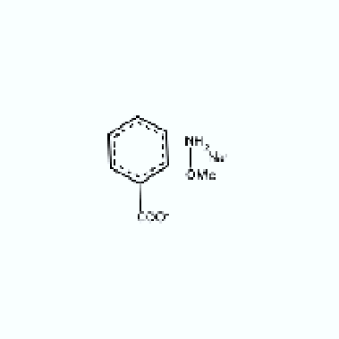 CON.O=C([O-])c1ccccc1.[Na+]